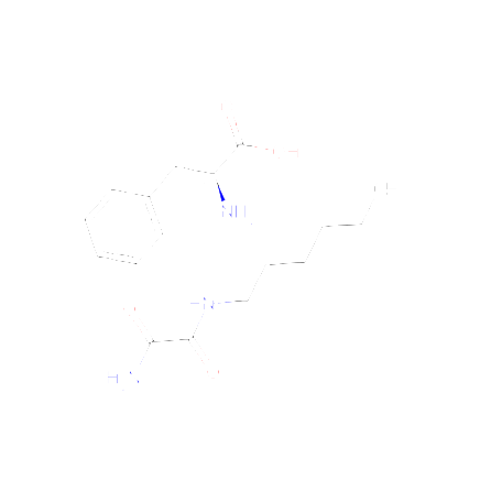 CCCCCCNC(=O)C(N)=O.N[C@@H](Cc1ccccc1)C(=O)O